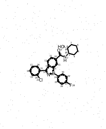 O=C(N[C@@H]1CCCC[C@H]1O)c1ccc2c(-c3ccccc3Cl)nn(-c3ccc(F)cc3)c2c1